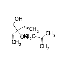 C=C(C)C(=O)O.C=CC(O)(C=C)CO